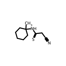 CC1(NC(=S)CC#N)CCCCC1